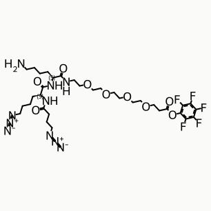 [N-]=[N+]=NCCCC[C@H](NC(=O)CCCN=[N+]=[N-])C(=O)N[C@@H](CCCCN)C(=O)NCCOCCOCCOCCOCCC(=O)Oc1c(F)c(F)c(F)c(F)c1F